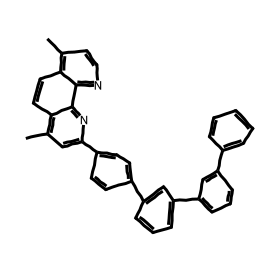 Cc1ccnc2c1ccc1c(C)cc(-c3ccc(-c4cccc(-c5cccc(-c6ccccc6)c5)c4)cc3)nc12